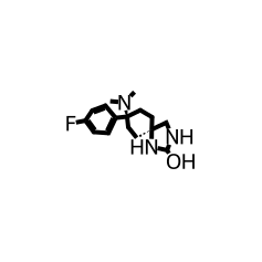 CN(C)[C@]1(c2ccc(F)cc2)CC[C@]2(CC1)CNC(O)N2